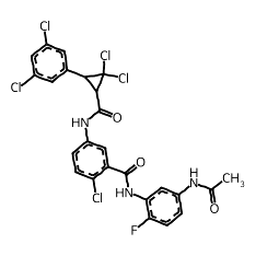 CC(=O)Nc1ccc(F)c(NC(=O)c2cc(NC(=O)C3C(c4cc(Cl)cc(Cl)c4)C3(Cl)Cl)ccc2Cl)c1